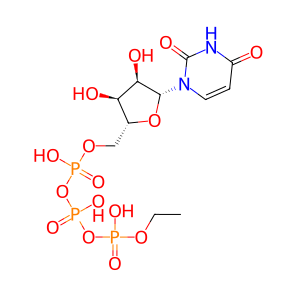 CCOP(=O)(O)OP(=O)(O)OP(=O)(O)OC[C@H]1O[C@@H](n2ccc(=O)[nH]c2=O)[C@H](O)[C@@H]1O